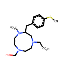 N#CSc1ccc(CC2CN(CC(=O)O)CCN(CO)CCN2C(=O)O)cc1